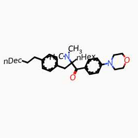 CCCCCCCCCCCCc1ccc(CC(CCCCCC)(C(=O)c2ccc(N3CCOCC3)cc2)N(C)C)cc1